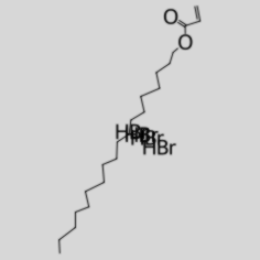 Br.Br.Br.Br.C=CC(=O)OCCCCCCCCCCCCCCCCCC